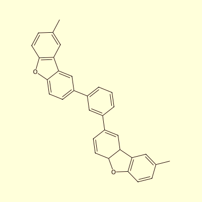 Cc1ccc2c(c1)C1C=C(c3cccc(-c4ccc5oc6ccc(C)cc6c5c4)c3)C=CC1O2